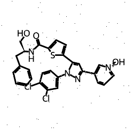 O=C(N[C@H](CO)Cc1ccccc1)c1ccc(-c2cc(-c3ccc[n+](O)c3)nn2-c2ccc(Cl)c(Cl)c2)s1